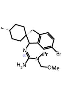 COCN(/C(N)=N\C1c2cc(Br)ccc2C[C@]12CC[C@@H](C)CC2)C(C)C